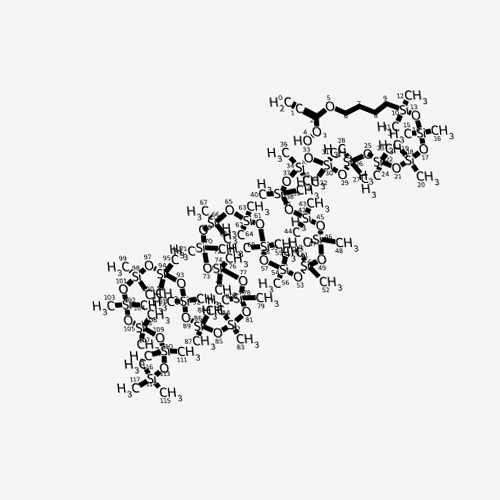 C=C=C(OO)OCCCC[Si](C)(C)O[Si](C)(C)O[Si](C)(C)O[Si](C)(C)O[Si](C)(C)O[Si](C)(C)O[Si](C)(C)O[Si](C)(C)O[Si](C)(C)O[Si](C)(C)O[Si](C)(C)O[Si](C)(C)O[Si](C)(C)O[Si](C)(C)O[Si](C)(C)O[Si](C)(C)O[Si](C)(C)O[Si](C)(C)O[Si](C)(C)O[Si](C)(C)O[Si](C)(C)O[Si](C)(C)O[Si](C)(C)O[Si](C)(C)O[Si](C)(C)O[Si](C)(C)O[Si](C)(C)C